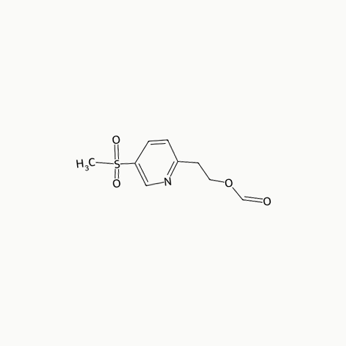 CS(=O)(=O)c1ccc(CCOC=O)nc1